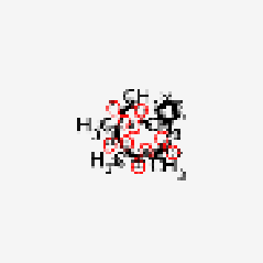 CC(=O)O[C@@H](C)C(=O)O[C@H](C)C(=O)O[C@H](C)C(=O)O[C@H](C)C(=O)OCc1ccccc1